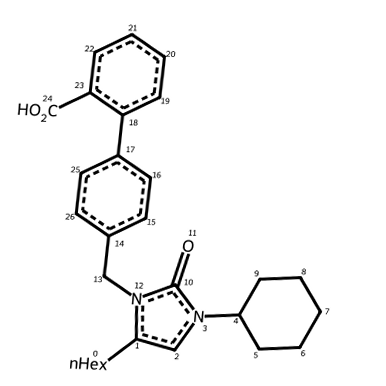 CCCCCCc1cn(C2CCCCC2)c(=O)n1Cc1ccc(-c2ccccc2C(=O)O)cc1